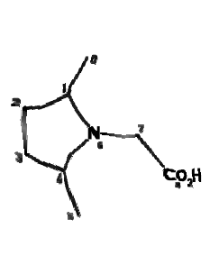 CC1CCC(C)N1CC(=O)O